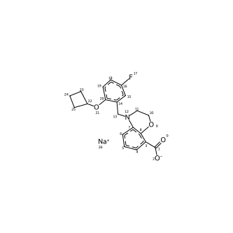 O=C([O-])c1cccc2c1OCCN2Cc1cc(F)ccc1OC1CCC1.[Na+]